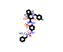 O=C1C(C2=NS(=O)(=O)c3cc(NS(=O)(=O)N(Cc4ccccc4)C(=O)O)ccc3N2)=C(O)[C@@H]2[C@H]3CC[C@H](C3)[C@@H]2N1Cc1ccc(F)cc1